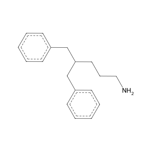 NCCCC(Cc1ccccc1)Cc1ccccc1